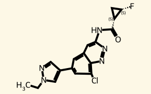 CCn1cc(-c2cc(Cl)c3nnc(NC(=O)[C@@H]4C[C@@H]4F)cc3c2)cn1